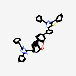 c1ccc(-c2nc(-c3ccccc3)nc(-c3ccc4oc5cc(-c6cccc(-c7nc(-c8ccccc8)nc8c7sc7ccccc78)c6)ccc5c4c3)n2)cc1